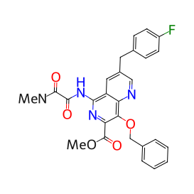 CNC(=O)C(=O)Nc1nc(C(=O)OC)c(OCc2ccccc2)c2ncc(Cc3ccc(F)cc3)cc12